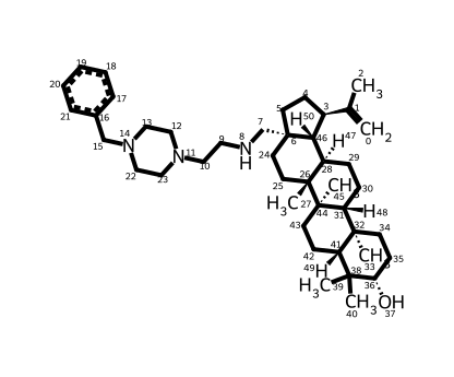 C=C(C)[C@@H]1CC[C@]2(CNCCN3CCN(Cc4ccccc4)CC3)CC[C@]3(C)[C@H](CC[C@@H]4[C@@]5(C)CC[C@H](O)C(C)(C)[C@@H]5CC[C@]43C)[C@@H]12